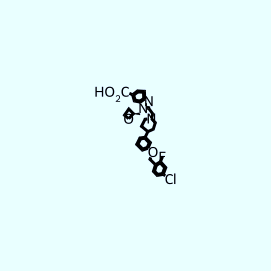 O=C(O)c1ccc2nc(CN3CCC(c4cccc(OCc5ccc(Cl)cc5F)c4)CC3)n(C[C@@H]3CCO3)c2c1